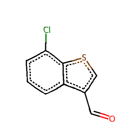 O=Cc1csc2c(Cl)cccc12